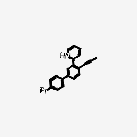 CC#Cc1ccc(-c2ccc(C(C)C)cc2)cc1C1C=CC=CN1